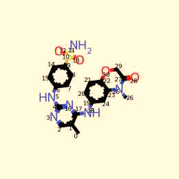 Cc1cnc(Nc2ccc(S(N)(=O)=O)cc2)nc1Nc1ccc2c(c1)N(C)C(=O)CO2